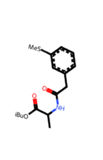 CSc1cccc(CC(=O)NC(C)C(=O)OCC(C)C)c1